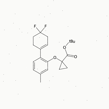 Cc1ccc(C2=CCC(F)(F)CC2)c(OC2(C(=O)OC(C)(C)C)CC2)c1